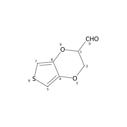 O=CC1COc2cscc2O1